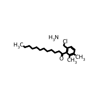 CCCCCCCCCCCC(=O)c1c(CCl)ccc(C)c1C.N